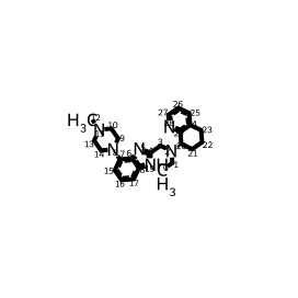 CCN(Cc1nc2c(N3CCN(C)CC3)cccc2[nH]1)[C@H]1CCCc2cccnc21